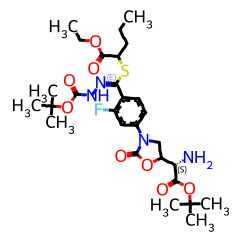 CCCC(S/C(=N/NC(=O)OC(C)(C)C)c1ccc(N2CC([C@H](N)C(=O)OC(C)(C)C)OC2=O)cc1F)C(=O)OCC